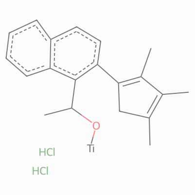 CC1=C(C)C(C)=C(c2ccc3ccccc3c2C(C)[O][Ti])C1.Cl.Cl